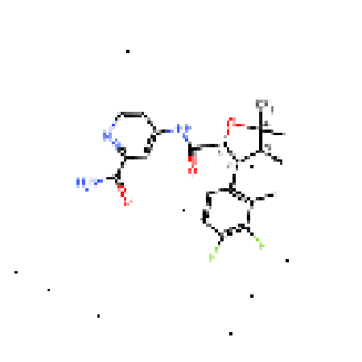 Cc1c([C@H]2[C@@H](C(=O)Nc3ccnc(C(N)=O)c3)O[C@@](C)(C(F)(F)F)[C@H]2C)ccc(F)c1F